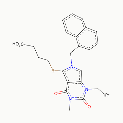 CC(C)Cn1c(=O)n(C)c(=O)c2c(SCCCC(=O)O)n(Cc3cccc4ccccc34)cc21